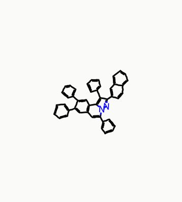 c1ccc(-c2cc3cc(-c4ccccc4)n4nc(-c5ccc6ccccc6c5)c(-c5ccccc5)c4c3cc2-c2ccccc2)cc1